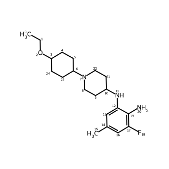 CCOC1CCC(N2CCC(Nc3cc(C)cc(F)c3N)CC2)CC1